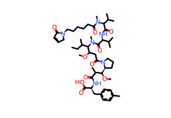 CCC(C)C(C(CC(=O)N1CCC[C@H]1C(OC)C(C)C(=O)N[C@@H](Cc1ccc(C)cc1)C(=O)O)OC)N(C)C(=O)[C@@H](NC(=O)C(C(C)C)N(C)C(=O)CCCCCN1CC=CC1=O)C(C)C